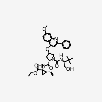 C=C[C@@H]1C[C@]1(NC(=O)[C@@H]1C[C@@H](Oc2cc(-c3ccccc3)nc3cc(OC)ccc23)CN1C(=O)N[C@H](CO)C(C)(C)C)C(=O)OCC